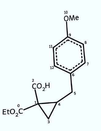 CCOC(=O)C1(C(=O)O)CC1Cc1ccc(OC)cc1